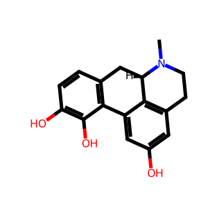 CN1CCc2cc(O)cc3c2[C@@H]1Cc1ccc(O)c(O)c1-3